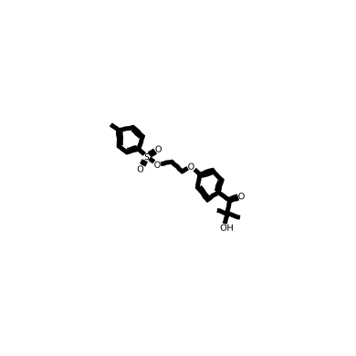 Cc1ccc(S(=O)(=O)OCCOc2ccc(C(=O)C(C)(C)O)cc2)cc1